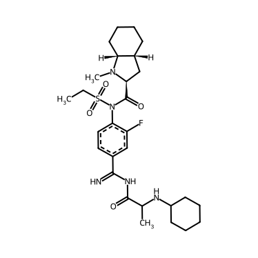 CCS(=O)(=O)N(C(=O)[C@@H]1C[C@H]2CCCC[C@H]2N1C)c1ccc(C(=N)NC(=O)C(C)NC2CCCCC2)cc1F